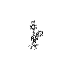 CC(C)N(/C=N/c1ncc(C#Cc2ccc(Cl)cc2)c(N2CCOCC2)n1)C(C)C